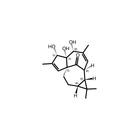 CC1=C[C@@H]2C(=O)[C@]3(C=C(C)[C@H](O)[C@@]3(O)[C@@H]1O)CC[C@@H]1[C@H]2C1(C)C